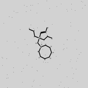 CC=C[Si](CCC)(CCC)CN1CCCCCCC1